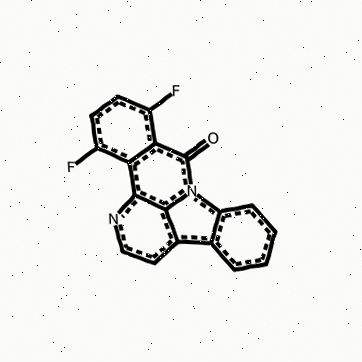 O=c1c2c(F)ccc(F)c2c2nccc3c4ccccc4n1c32